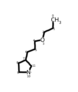 CCCOCCCC1CC[N]C1